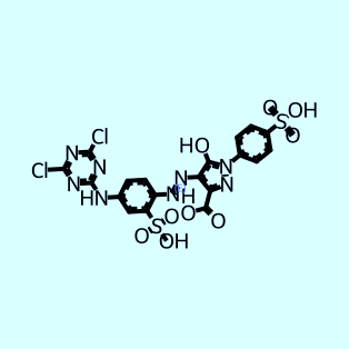 O=C(O)c1nn(-c2ccc(S(=O)(=O)O)cc2)c(O)c1/N=N/c1ccc(Nc2nc(Cl)nc(Cl)n2)cc1S(=O)(=O)O